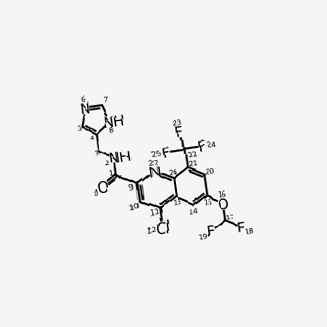 O=C(NCc1cnc[nH]1)c1cc(Cl)c2cc(OC(F)F)cc(C(F)(F)F)c2n1